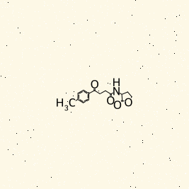 Cc1ccc(C(=O)CCC(=O)NC2CCOC2=O)cc1